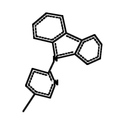 Cc1ccc(-n2c3ccccc3c3ccccc32)nc1